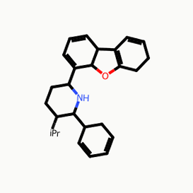 CC(C)C1CCC(C2=CC=CC3C4=C(CCC=C4)OC23)NC1C1C=CC=CC1